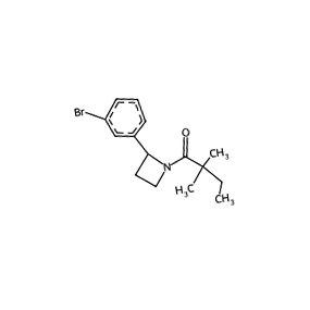 CCC(C)(C)C(=O)N1CCC1c1cccc(Br)c1